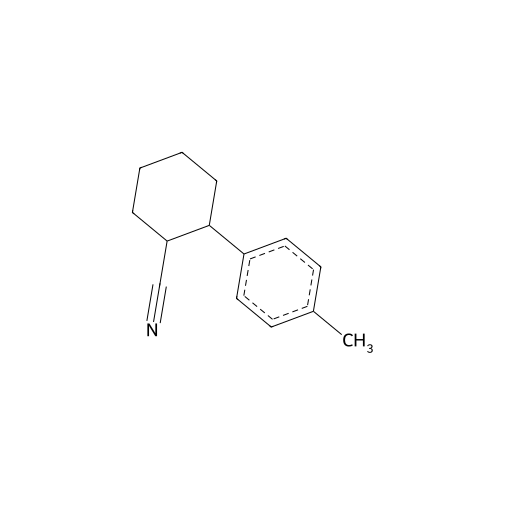 Cc1ccc(C2CCCCC2C#N)cc1